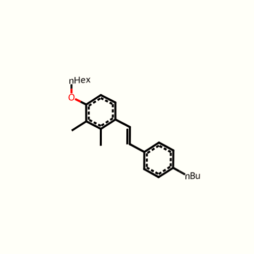 CCCCCCOc1ccc(C=Cc2ccc(CCCC)cc2)c(C)c1C